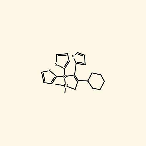 C[P+]1(C)CC(C2CCCCC2)=C(c2cccs2)[B-]1(c1cccs1)c1cccs1